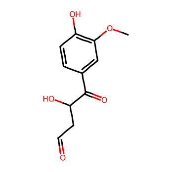 COc1cc(C(=O)C(O)CC=O)ccc1O